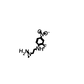 CN(N)CCNc1ccc([N+](=O)[O-])cc1F